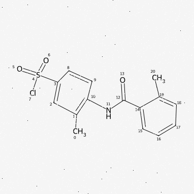 Cc1cc(S(=O)(=O)Cl)ccc1NC(=O)c1ccccc1C